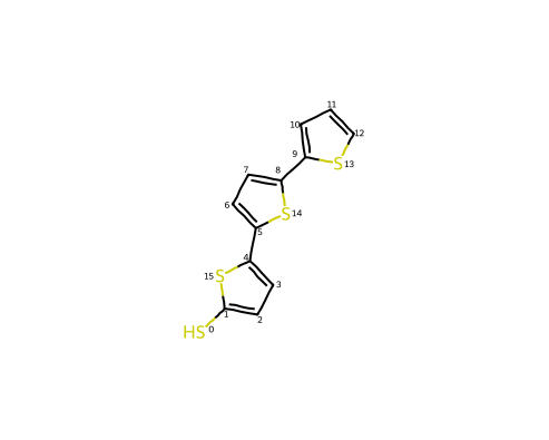 Sc1ccc(-c2ccc(-c3cccs3)s2)s1